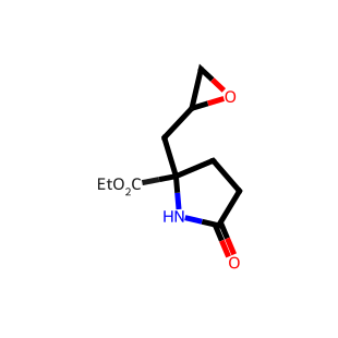 CCOC(=O)C1(CC2CO2)CCC(=O)N1